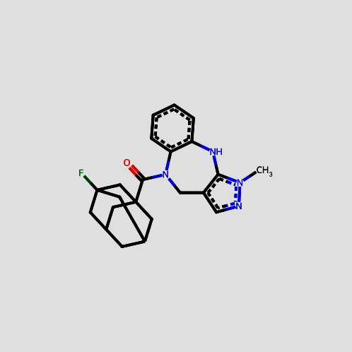 Cn1ncc2c1Nc1ccccc1N(C(=O)C13CC4CC(CC(F)(C4)C1)C3)C2